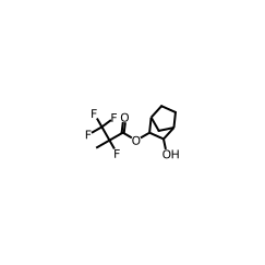 CC(F)(C(=O)OC1C2CCC(C2)C1O)C(F)(F)F